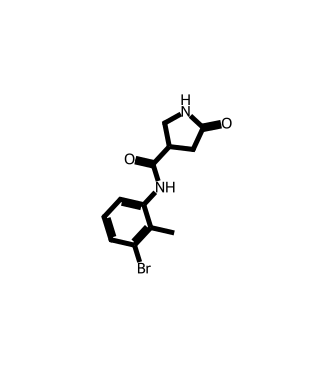 Cc1c(Br)cccc1NC(=O)C1CNC(=O)C1